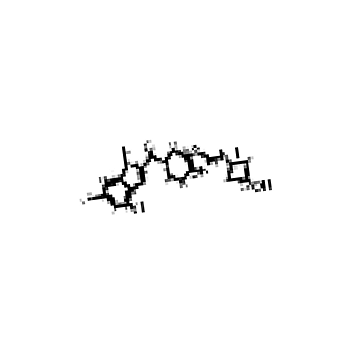 O=C(c1cc2c(Cl)cc(F)cc2[nH]1)N1CCc2nc(NC3CC(O)C3)sc2C1